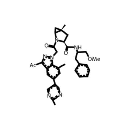 COCC(Cc1ccccc1)NC(=O)[C@@H]1C[C@@]2(C)CC2N1C(=O)Cn1nc(C(C)=O)c2cc(-c3cnc(C)nc3)cc(C)c21